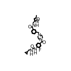 Cc1cc(CNC(=O)c2cccc(CN3CCN(C(=O)c4ccc(NC(=O)NCC5CC5)c(F)c4)CC3)c2)no1